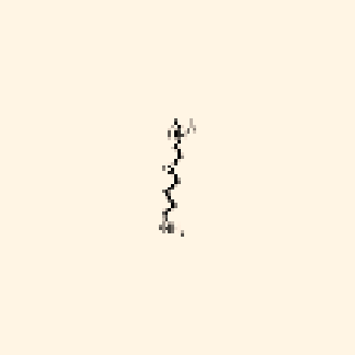 CNCCSCCCCN